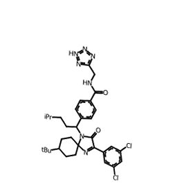 CC(C)CCC(c1ccc(C(=O)NCc2nn[nH]n2)cc1)N1C(=O)C(c2cc(Cl)cc(Cl)c2)=NC12CCC(C(C)(C)C)CC2